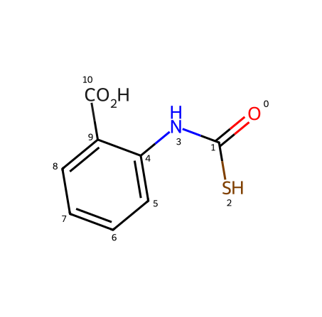 O=C(S)Nc1ccccc1C(=O)O